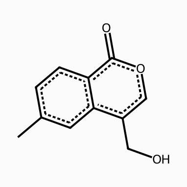 Cc1ccc2c(=O)occ(CO)c2c1